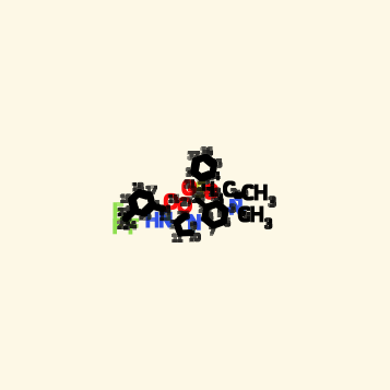 CC(C)N(C)[C@H]1CC[C@H](N2CC[C@H](NC(=O)c3cccc(C(F)(F)F)c3)C2=O)[C@@H](CS(=O)(=O)c2ccccc2)C1